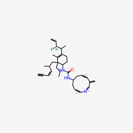 C#C/C=C\C(C)CC1(CCC)C(C)=C(C(C)[C@@H](F)C=C)CCC1NC(=O)NC1C/C=C\N=C/C(=C)/C=C\C1